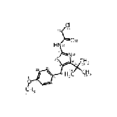 COc1ccc(Cc2sc(NC(=O)CCl)nc2C(C)(C)C)cc1